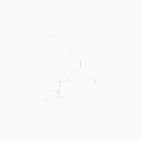 Cc1c(CCCCl)sc(NC(=O)C2CC3CCC2CC3)c1C#N